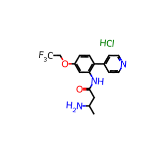 CC(N)CC(=O)Nc1cc(OCC(F)(F)F)ccc1-c1ccncc1.Cl